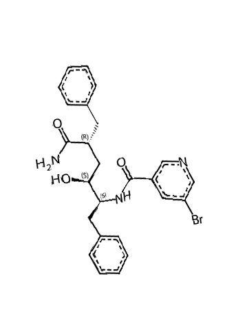 NC(=O)[C@H](Cc1ccccc1)C[C@H](O)[C@H](Cc1ccccc1)NC(=O)c1cncc(Br)c1